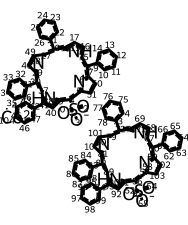 O=S(=O)([O-])c1c2nc(c(-c3ccccc3)c3ccc([nH]3)c(-c3ccccc3)c3nc(c(-c4ccccc4)c4[nH]c1cc4-c1ccccc1)C=C3)C=C2.O=S(=O)([O-])c1c2nc(c(-c3ccccc3)c3ccc([nH]3)c(-c3ccccc3)c3nc(c(-c4ccccc4)c4[nH]c1cc4-c1ccccc1)C=C3)C=C2.[Co+2]